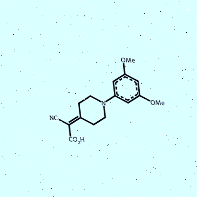 COc1cc(OC)cc(N2CCC(=C(C#N)C(=O)O)CC2)c1